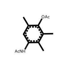 CC(=O)Nc1cc(C)c(OC(C)=O)c(C)c1C